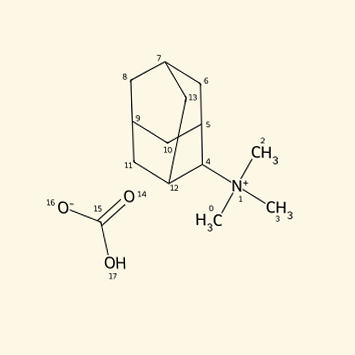 C[N+](C)(C)C1C2CC3CC(C2)CC1C3.O=C([O-])O